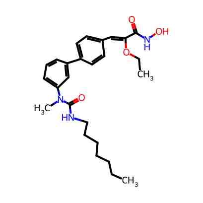 CCCCCCCNC(=O)N(C)c1cccc(-c2ccc(C=C(OCC)C(=O)NO)cc2)c1